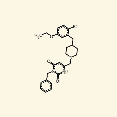 CCOc1ccc(Br)c(CC2CCN(Cc3cc(=O)n(Cc4ccccc4)c(=O)[nH]3)CC2)c1